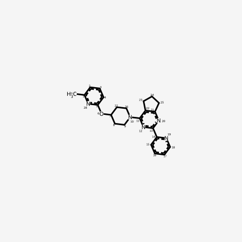 Cc1cccc(OC2CCN(c3nc(-c4ccccn4)nc4c3CCC4)CC2)n1